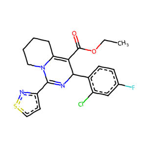 CCOC(=O)C1=C2CCCCN2C(c2ccsn2)=NC1c1ccc(F)cc1Cl